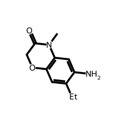 CCc1cc2c(cc1N)N(C)C(=O)CO2